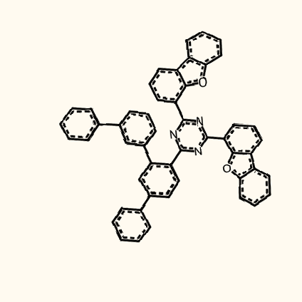 c1ccc(-c2cccc(-c3cc(-c4ccccc4)ccc3-c3nc(-c4cccc5c4oc4ccccc45)nc(-c4cccc5c4oc4ccccc45)n3)c2)cc1